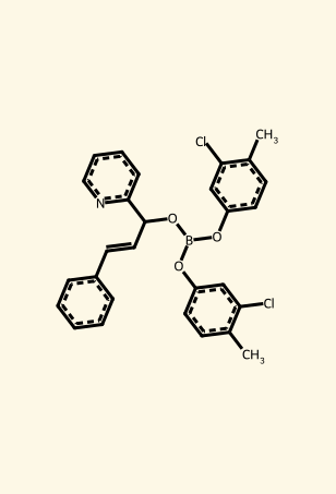 Cc1ccc(OB(Oc2ccc(C)c(Cl)c2)OC(C=Cc2ccccc2)c2ccccn2)cc1Cl